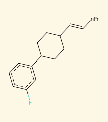 CCCC=CC1CCC(c2cccc(F)c2)CC1